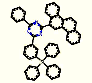 c1ccc(-c2nc(-c3cccc([Si](c4ccccc4)(c4ccccc4)c4ccccc4)c3)nc(-c3cc4c5ccccc5ccc4c4ccccc34)n2)cc1